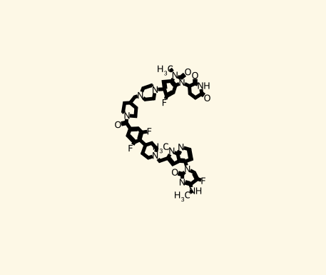 CNc1nc(=O)n(-c2ccnc3c2cc(CN2CCC(c4c(F)cc(C(=O)N5CCC(CN6CCN(c7cc8c(cc7F)n(C7CCC(=O)NC7=O)c(=O)n8C)CC6)CC5)cc4F)CC2)n3C)cc1F